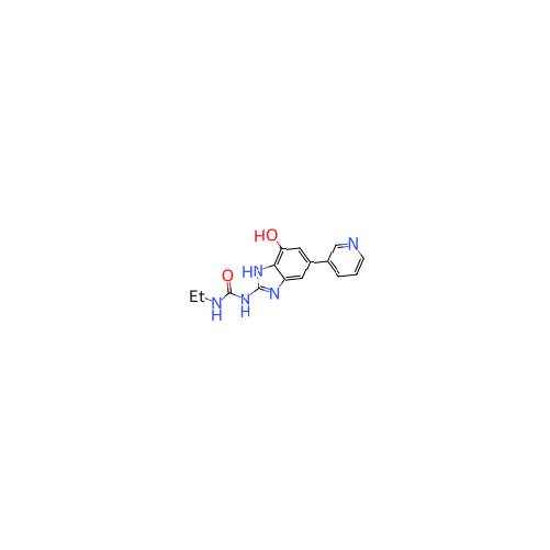 CCNC(=O)Nc1nc2cc(-c3cccnc3)cc(O)c2[nH]1